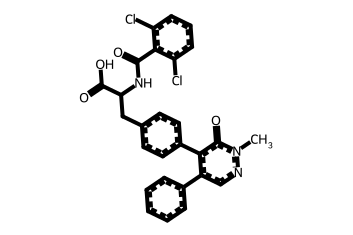 Cn1ncc(-c2ccccc2)c(-c2ccc(CC(NC(=O)c3c(Cl)cccc3Cl)C(=O)O)cc2)c1=O